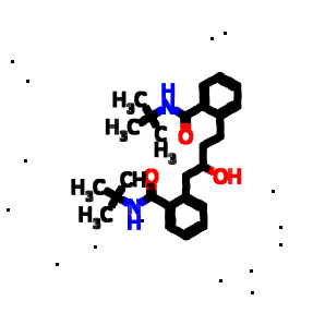 CC(C)(C)NC(=O)c1ccccc1CCC(O)Cc1ccccc1C(=O)NC(C)(C)C